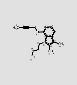 CC#CCOc1nccc2c(C)c(C)n(CCOC)c12